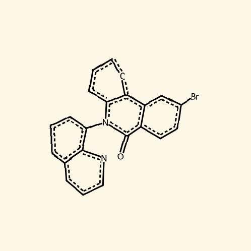 O=c1c2ccc(Br)cc2c2ccccc2n1-c1cccc2cccnc12